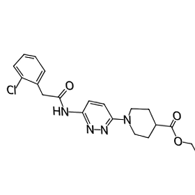 CCOC(=O)C1CCN(c2ccc(NC(=O)Cc3ccccc3Cl)nn2)CC1